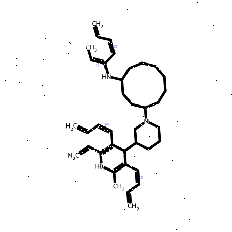 C=C/C=C\C1=C(C)BC(C=C)=C(/C=C\C=C)C1C1CCCN(C2CCCCCCC(NC(/C=C\C=C)=C/C)CC2)C1